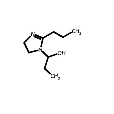 CCCC1=NCCN1C(O)CC